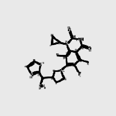 Cc1c(F)c(N2CCC(C(N)c3nccs3)C2)c(C)c2c1c(=O)[nH]c(=O)n2C1CC1